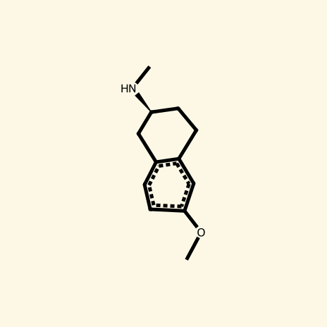 CN[C@H]1CCc2cc(OC)ccc2C1